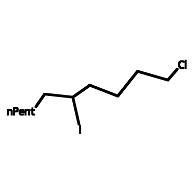 CCCCCCC(I)CCCCCl